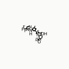 COC(=O)C1(C)CCC(C(C)(O)c2ncc(-c3cc(C)cc(Nc4nccc(C(F)(F)F)n4)c3)s2)CC1